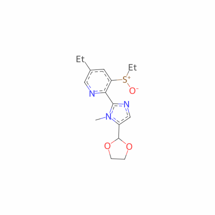 CCc1cnc(-c2ncc(C3OCCO3)n2C)c([S+]([O-])CC)c1